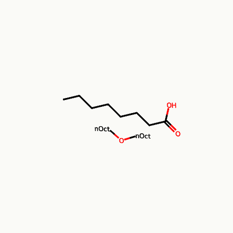 CCCCCCCC(=O)O.CCCCCCCCOCCCCCCCC